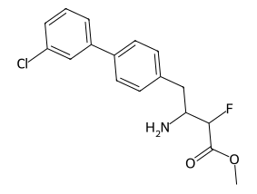 COC(=O)C(F)C(N)Cc1ccc(-c2cccc(Cl)c2)cc1